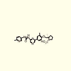 Cc1ccc(NC(=O)Nc2cncc(-c3ccc(OC[C@@]4(C)CCCN4C(=O)O)c(C)c3)n2)cn1